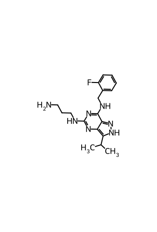 CC(C)c1[nH]nc2c(NCc3ccccc3F)nc(NCCCN)nc12